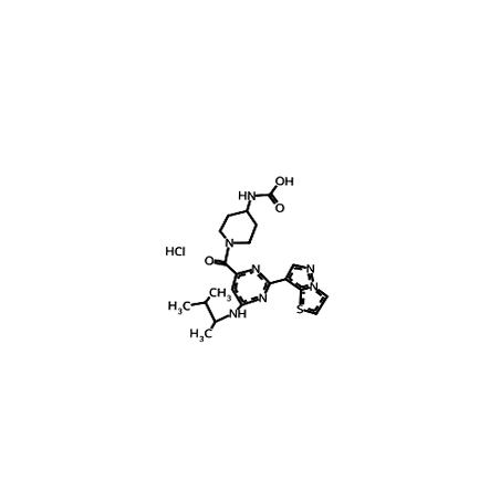 CC(C)C(C)Nc1cc(C(=O)N2CCC(NC(=O)O)CC2)nc(-c2cnn3ccsc23)n1.Cl